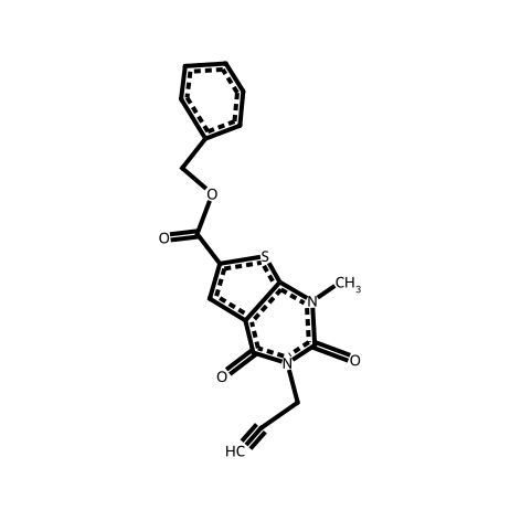 C#CCn1c(=O)c2cc(C(=O)OCc3ccccc3)sc2n(C)c1=O